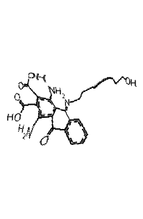 Nc1c(C(=O)O)c(C(=O)O)c(N)c2c1C(=O)c1ccccc1C2=NCCCCCCO